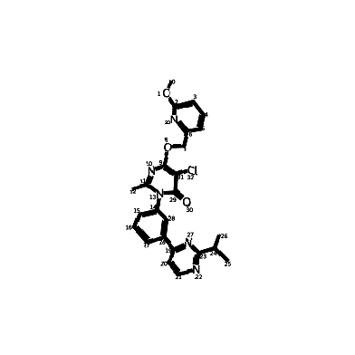 COc1cccc(COc2nc(C)n(-c3cccc(-c4ccnc(C(C)C)n4)c3)c(=O)c2Cl)n1